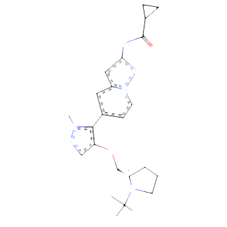 [2H]C([2H])([2H])N1CCC[C@@H]1COc1cnn(C)c1-c1ccn2nc(NC(=O)C3CC3)cc2c1